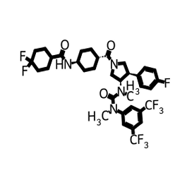 CN(C(=O)N(C)[C@@H]1CN(C(=O)[C@H]2CC[C@H](NC(=O)C3CCC(F)(F)CC3)CC2)C[C@H]1c1ccc(F)cc1)c1cc(C(F)(F)F)cc(C(F)(F)F)c1